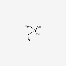 CC[CH2][Sn]([CH3])([CH3])[OH]